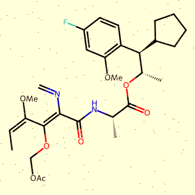 C=N/C(C(=O)N[C@@H](C)C(=O)O[C@@H](C)[C@@H](c1ccc(F)cc1OC)C1CCCC1)=C(OCOC(C)=O)\C(=C/C)OC